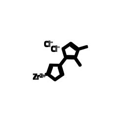 CC1=CCC(C2=CC[C]([Zr+2])=C2)=C1C.[Cl-].[Cl-]